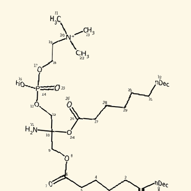 CCCCCCCCCCCCCCCC(=O)OCC(N)(COP(=O)(O)OCC[N+](C)(C)C)OC(=O)CCCCCCCCCCCCCCC